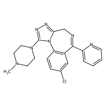 CN1CCN(c2nnc3n2-c2ccc(Cl)cc2C(c2ccccn2)=NC3)CC1